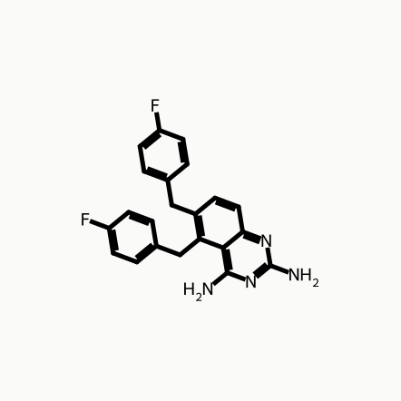 Nc1nc(N)c2c(Cc3ccc(F)cc3)c(Cc3ccc(F)cc3)ccc2n1